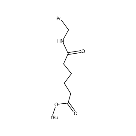 CC(C)CNC(=O)CCCCC(=O)OC(C)(C)C